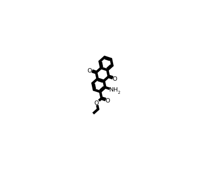 CCOC(=O)c1ccc2c(c1N)C(=O)c1ccccc1C2=O